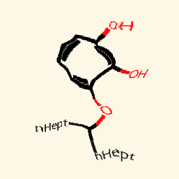 CCCCCCCC(CCCCCCC)Oc1cccc(O)c1O